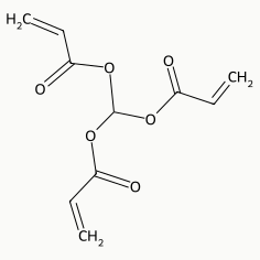 C=CC(=O)OC(OC(=O)C=C)OC(=O)C=C